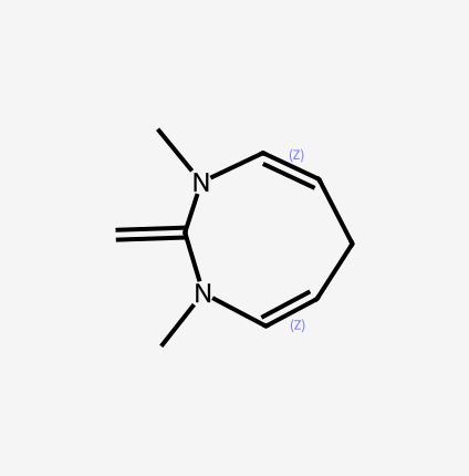 C=C1N(C)/C=C\C/C=C\N1C